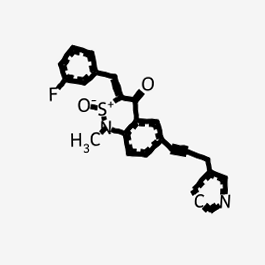 CN1c2ccc(C#CCc3cccnc3)cc2C(=O)/C(=C/c2cccc(F)c2)[S+]1[O-]